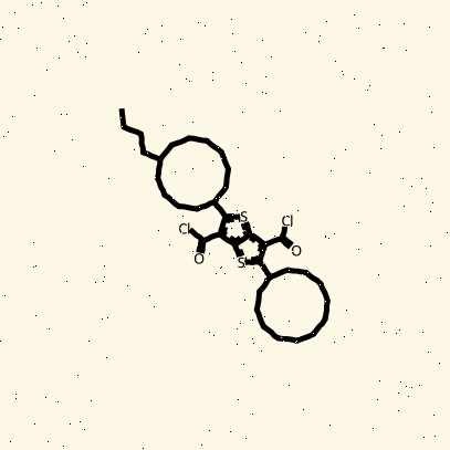 CCCCC1CCCCCCC(c2sc3c(C(=O)Cl)c(C4CCCCCCCCCCC4)sc3c2C(=O)Cl)CCCC1